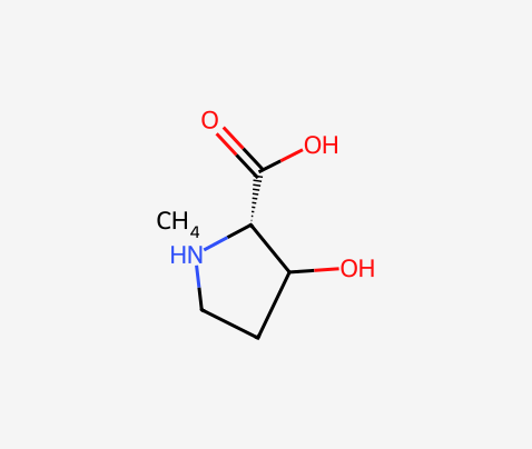 C.O=C(O)[C@H]1NCCC1O